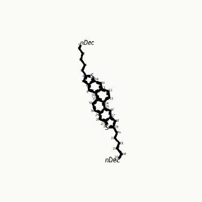 CCCCCCCCCCCCCCCc1cc2cc3c(ccc4c5cc6cc(CCCCCCCCCCCCCCC)sc6cc5ccc34)cc2s1